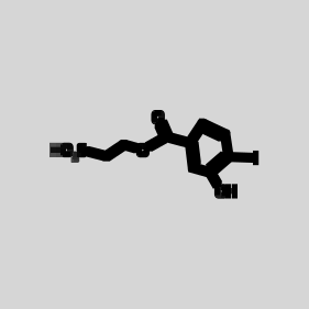 O=C(OCCS(=O)(=O)O)c1ccc(I)c(O)c1